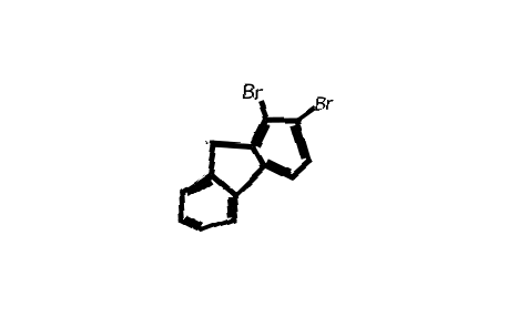 Brc1ccc2c(c1Br)[CH]c1ccccc1-2